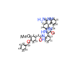 COc1cc(CC(=O)Nc2ccccc2C(Nc2ccc(C(=N)N)cc2)C(=O)NCc2ccccc2)ccc1OCc1ccccc1